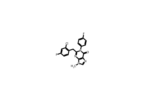 Cn1cnc2c(=O)n(-c3ccc(F)cc3)c(Cc3ccc(F)cc3Cl)nc21